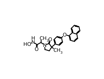 CC(C(=O)NO)N1CCC(C)(c2ccc(Oc3cccc4ccccc34)cc2)C1=O